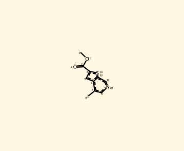 COC(=O)c1cc2c(I)cncc2s1